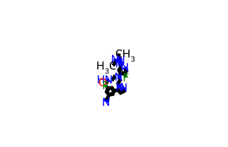 Cc1nc(C)n(-c2cc(N(CCNC=O)CCN3N=CCC3c3cc(F)cc(C#N)c3)c(F)cn2)n1